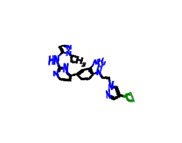 Cn1nccc1Nc1nccc(-c2ccc(NCCn3cc(Cl)cn3)c(N)c2)n1